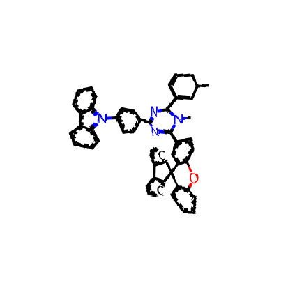 CC1C=C(C2N=C(c3ccc(-n4c5ccccc5c5ccccc54)cc3)N=C(c3ccc4c(c3)C3(c5ccccc5O4)c4ccccc4-c4ccccc43)N2C)C=CC1